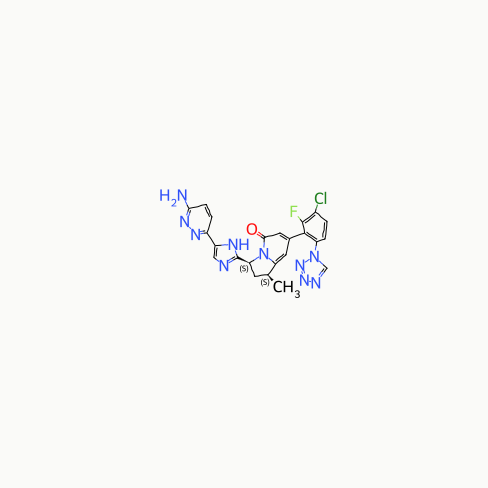 C[C@H]1C[C@@H](c2ncc(-c3ccc(N)nn3)[nH]2)n2c1cc(-c1c(-n3cnnn3)ccc(Cl)c1F)cc2=O